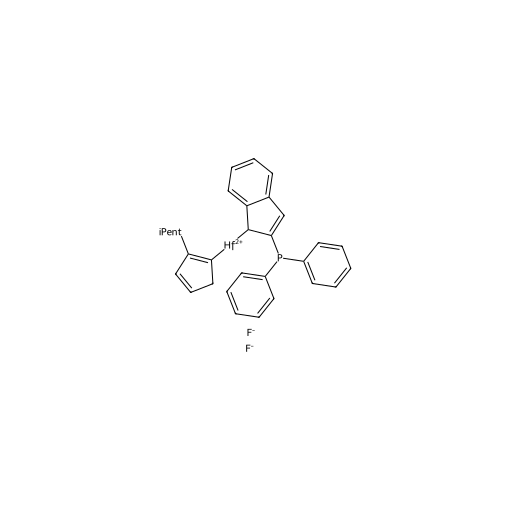 CCCC(C)C1=[C]([Hf+2][CH]2C(P(c3ccccc3)c3ccccc3)=Cc3ccccc32)CC=C1.[F-].[F-]